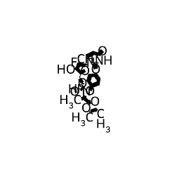 CCC(C)OC(=O)C(C)N(Oc1ccccc1)[PH](=O)OC[C@H]1O[C@@H](n2ccc(=O)[nH]c2=O)[C@](C)(F)[C@@H]1O